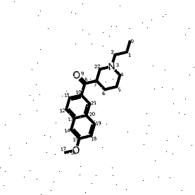 CCCN1CCCC(C(=O)c2ccc3cc(OC)ccc3c2)C1